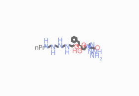 CCCNCCNCCNCCNCCCOC(Cc1ccccc1)[C@H]1O[C@@H](n2cnc3c(=O)[nH]c(N)nc32)C[C@@H]1O